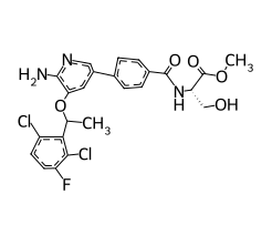 COC(=O)[C@H](CO)NC(=O)c1ccc(-c2cnc(N)c(OC(C)c3c(Cl)ccc(F)c3Cl)c2)cc1